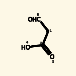 O=C[C]C(=O)O